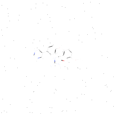 CN1C(=O)C2(N=C1N)c1cc(OC(F)(F)F)ccc1Oc1ccc(-c3cncnc3)cc12